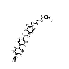 CCCCCOc1ccc(CCc2ccc(-c3ccc(C#N)cn3)cc2)cc1